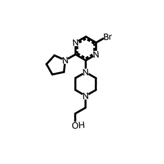 OCCN1CCN(c2nc(Br)cnc2N2CCCC2)CC1